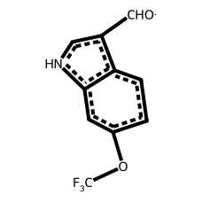 O=[C]c1c[nH]c2cc(OC(F)(F)F)ccc12